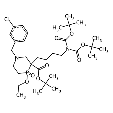 CCOP1(=O)CCN(Cc2cccc(Cl)c2)CC1(CCCCN(C(=O)OC(C)(C)C)C(=O)OC(C)(C)C)C(=O)OC(C)(C)C